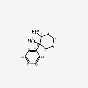 CCC1CCCCC1(O)c1ccccc1